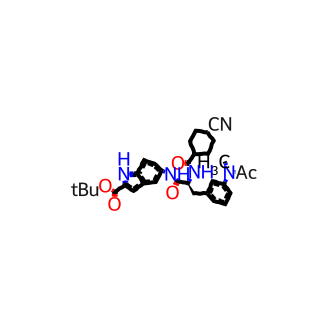 CC(=O)N(C)c1cccc(C[C@H](NC(=O)C2CCC(C#N)CC2)C(=O)Nc2ccc3[nH]c(C(=O)OC(C)(C)C)cc3c2)c1